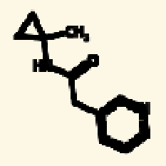 CC1(NC(=O)Cc2cccnc2)CC1